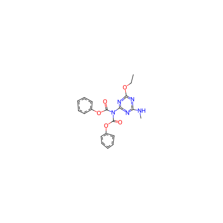 CCOc1nc(NC)nc(N(C(=O)Oc2ccccc2)C(=O)Oc2ccccc2)n1